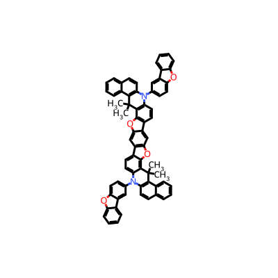 CC1(C)c2c(ccc3ccccc23)N(c2ccc3oc4ccccc4c3c2)c2ccc3c(oc4cc5c(cc43)oc3c4c(ccc35)N(c3ccc5oc6ccccc6c5c3)c3ccc5ccccc5c3C4(C)C)c21